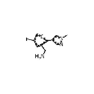 Cn1cc(-c2ccc(F)cc2CN)cn1